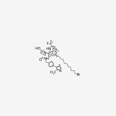 Cc1ncsc1-c1ccc(CNC(=O)[C@@H]2C[C@@H](O)CN2C(=O)[C@@H](NC(=O)C2(F)CC2)C(C)(C)SCCCCCCCCCCCBr)cc1